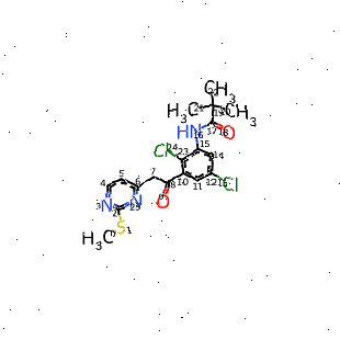 CSc1nccc(CC(=O)c2cc(Cl)cc(NC(=O)C(C)(C)C)c2Cl)n1